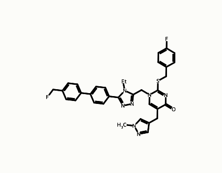 CCn1c(Cn2cc(Cc3cnn(C)c3)c(=O)nc2SCc2ccc(F)cc2)nnc1-c1ccc(-c2ccc(CF)cc2)cc1